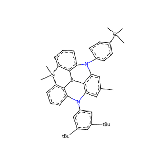 Cc1cc2c3c(c1)N(c1cc(C(C)(C)C)cc(C(C)(C)C)c1)c1cccc4c1B3c1c(cccc1[Si]4(C)C)N2c1ccc([Si](C)(C)C)cc1